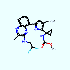 CCOC(=O)c1cc(-c2cccc3nc(C)c(NCC(F)F)nc23)[nH]c1C1(NC(=O)OC(C)(C)C)CC1